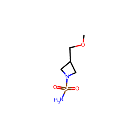 COCC1CN(S(N)(=O)=O)C1